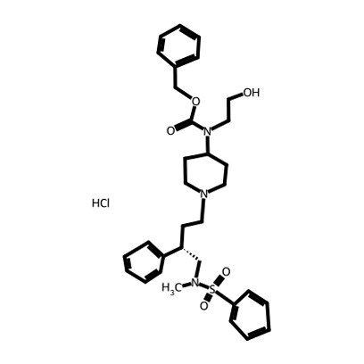 CN(C[C@@H](CCN1CCC(N(CCO)C(=O)OCc2ccccc2)CC1)c1ccccc1)S(=O)(=O)c1ccccc1.Cl